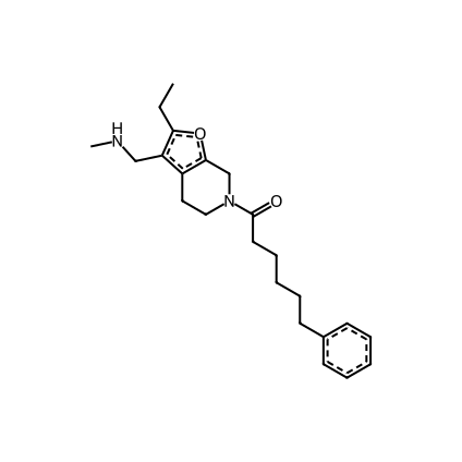 CCc1oc2c(c1CNC)CCN(C(=O)CCCCCc1ccccc1)C2